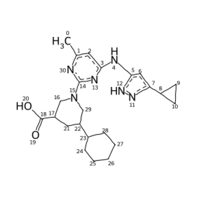 Cc1cc(Nc2cc(C3CC3)n[nH]2)nc(N2CC(C(=O)O)CC(C3CCCCC3)C2)n1